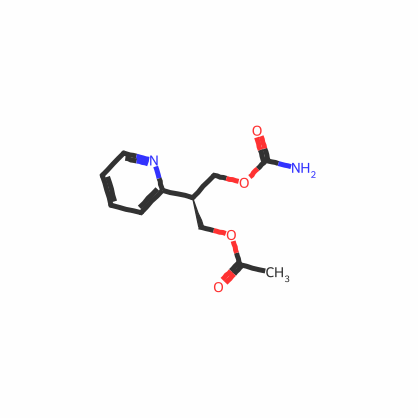 CC(=O)OC[C@H](COC(N)=O)c1ccccn1